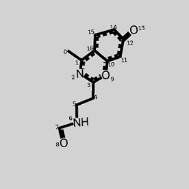 Cc1nc(CCNC=O)oc2cc(=O)ccc1-2